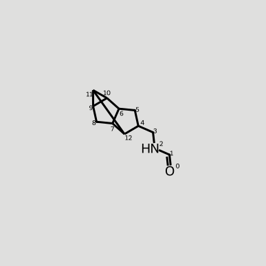 O=CNCC1CC2C3CC4C2C4C13